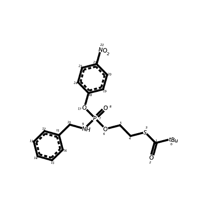 CC(C)(C)C(=O)SCCOP(=O)(NCc1ccccc1)Oc1ccc([N+](=O)[O-])cc1